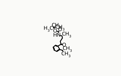 CC(C)c1ccccc1C(=O)CC[C@@H](C)NC(=O)OC(C)(C)C